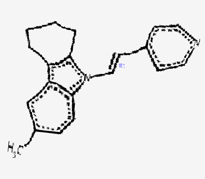 Cc1ccc2c(c1)c1c(n2/C=C/c2ccncc2)CCCC1